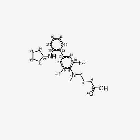 CN(CCCC(=O)O)c1c(F)cc(-c2ccccc2NC2CCCC2)cc1F